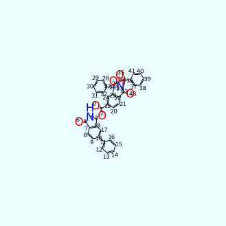 O=C(OC1NC(=O)c2ccc(-c3ccccc3)cc21)c1ccc2c(c1)C(O)(c1ccccc1)N(C(=O)c1ccccc1)C2=O